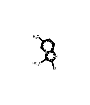 CCc1nc2ccc(C)cn2c1C(=O)O